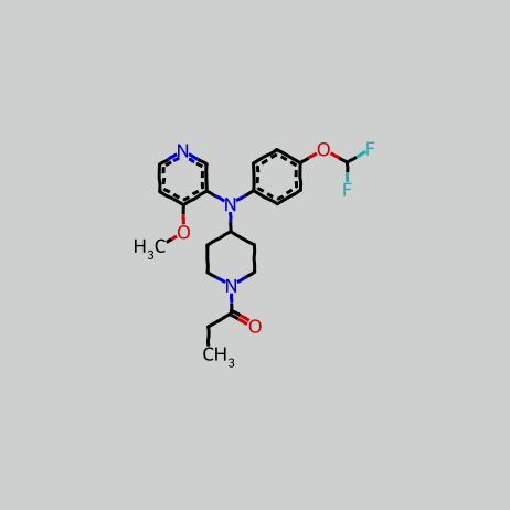 CCC(=O)N1CCC(N(c2ccc(OC(F)F)cc2)c2cnccc2OC)CC1